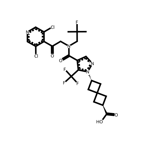 CC(C)(F)CN(CC(=O)c1c(Cl)cncc1Cl)C(=O)c1cnn([C@H]2CC3(C[C@H](C(=O)O)C3)C2)c1C(F)(F)F